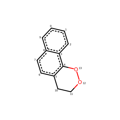 c1ccc2c3c(ccc2c1)CCOO3